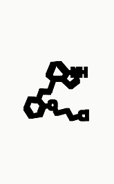 ClCCCOc1ccccc1C=Cc1cccc2[nH]ccc12